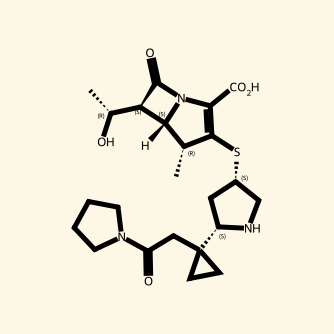 C[C@@H](O)[C@H]1C(=O)N2C(C(=O)O)=C(S[C@@H]3CN[C@H](C4(CC(=O)N5CCCC5)CC4)C3)[C@H](C)[C@H]12